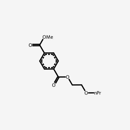 CCCOCCOC(=O)c1ccc(C(=O)OC)cc1